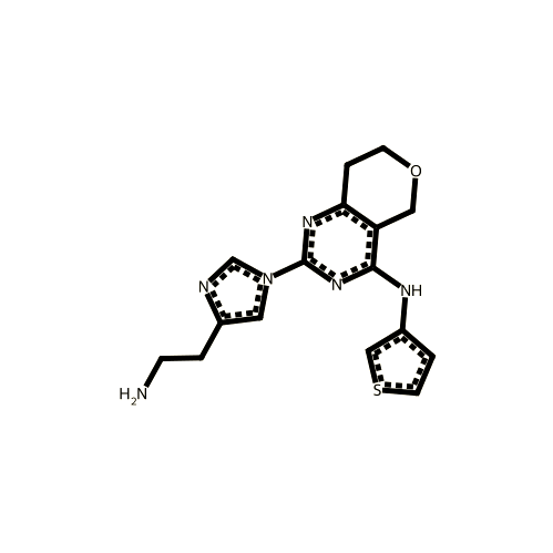 NCCc1cn(-c2nc3c(c(Nc4ccsc4)n2)COCC3)cn1